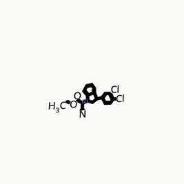 CCOC(=O)/C(C#N)=C1/CC(c2ccc(Cl)c(Cl)c2)c2ccccc21